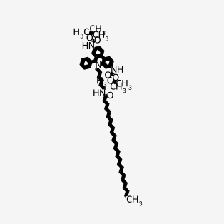 CCCCCCCCCCCCCCCCCCCCCCCCCCC(=O)NCCCCCCN1c2cc(NC(=O)OC(C)(C)C)ccc2-c2ccc(NC(=O)OC(C)(C)C)cc2C1c1ccccc1